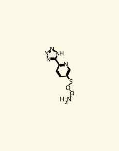 NOOSc1ccc(-c2nnn[nH]2)nc1